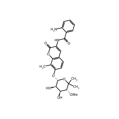 CO[C@@H]1[C@@H](O)[C@@H](O)[C@H](Oc2ccc3cc(NC(=O)c4ccccc4N)c(=O)oc3c2C)OC1(C)C